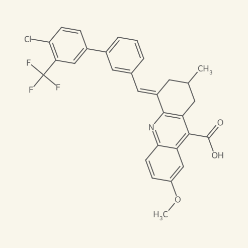 COc1ccc2nc3c(c(C(=O)O)c2c1)CC(C)C/C3=C\c1cccc(-c2ccc(Cl)c(C(F)(F)F)c2)c1